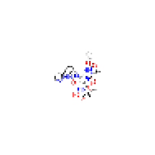 C=C[C@@H]1C[C@]1(NC(=O)[C@@H]1CC(N2Cc3cccc(-c4cccnc4)c3NC2=O)CN1C(=O)[C@@H](NC(=O)OC1CCCC1)C(C)(C)C)C(=O)O